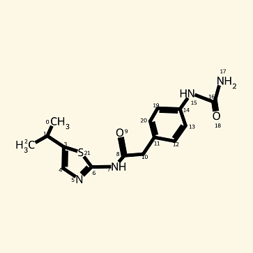 CC(C)c1cnc(NC(=O)Cc2ccc(NC(N)=O)cc2)s1